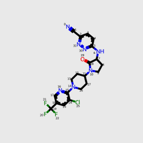 N#Cc1ccc(NC2CCN(C3CCN(c4ncc(C(F)(F)F)cc4Cl)CC3)C2=O)nn1